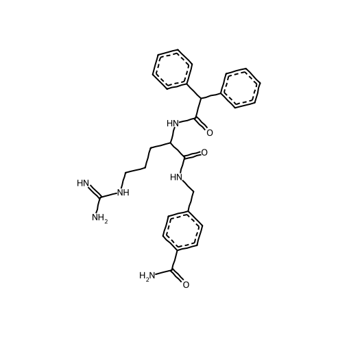 N=C(N)NCCCC(NC(=O)C(c1ccccc1)c1ccccc1)C(=O)NCc1ccc(C(N)=O)cc1